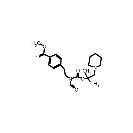 COC(=O)c1ccc(CCN(C=O)C(=O)OC(C)(C)CN2CCCCC2)cc1